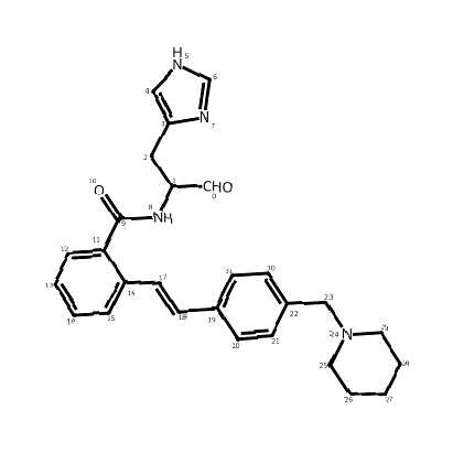 O=CC(Cc1c[nH]cn1)NC(=O)c1ccccc1C=Cc1ccc(CN2CCCCC2)cc1